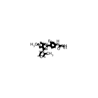 CCNC(=O)Nc1ccc(-c2nc3c(c(N4CCOCC4C)n2)CN(C)C3)c(F)c1